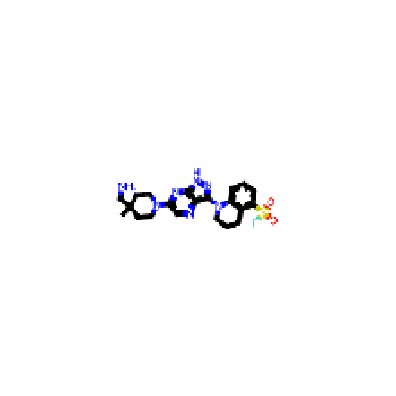 CC1(CN)CCN(c2cnc3c(N4CCCc5c4cccc5S(=O)(=O)F)n[nH]c3n2)CC1